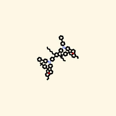 C=Cc1ccc(CC2(c3ccc(C(C)(C)C)cc3)c3ccccc3-c3ccc(N(c4ccc(-c5ccccc5)cc4)c4ccc(-c5cc(CCCCCC)c(-c6ccc(N(c7ccc(-c8ccccc8)cc7)c7ccc8c(c7)C(Cc7ccc(C=C)cc7)(c7ccc(C(C)(C)C)cc7)c7ccccc7-8)cc6)cc5CCCCC)cc4)cc32)cc1